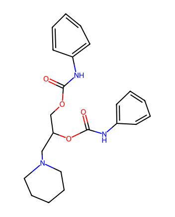 O=C(Nc1ccccc1)OCC(CN1CCCCC1)OC(=O)Nc1ccccc1